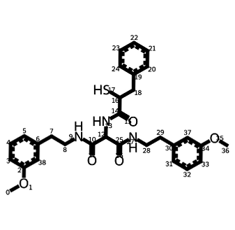 COc1cccc(CCNC(=O)C(NC(=O)C(S)Cc2ccccc2)C(=O)NCCc2cccc(OC)c2)c1